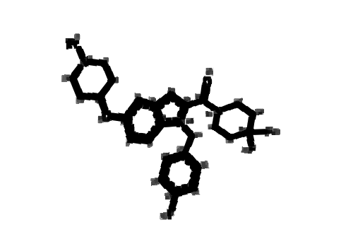 CC(C)N1CCC(Oc2ccc3c(c2)cc(C(=O)N2CCC(F)(F)CC2)n3Cc2ccc(F)cc2)CC1